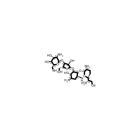 N#CC[C@H](N)[C@@H]1CC[C@@H](N)[C@@H](O[C@H]2[C@H](O[C@@H]3O[C@H](CO)[C@@H](O[C@H]4O[C@@H](CN)[C@@H](O)[C@H](O)[C@H]4N)[C@H]3O)[C@@H](O)[C@H](N)C[C@@H]2N)O1